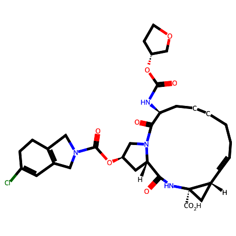 O=C(N[C@H]1CCCCC/C=C\[C@@H]2C[C@@]2(C(=O)O)NC(=O)[C@@H]2C[C@@H](OC(=O)N3CC4=C(CCC(Cl)=C4)C3)CN2C1=O)O[C@@H]1CCOC1